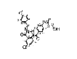 COc1ccc(C=NNC(=O)c2cc(Cl)ccc2NC(=O)c2ccc(CN(C)CCO)cc2)cc1